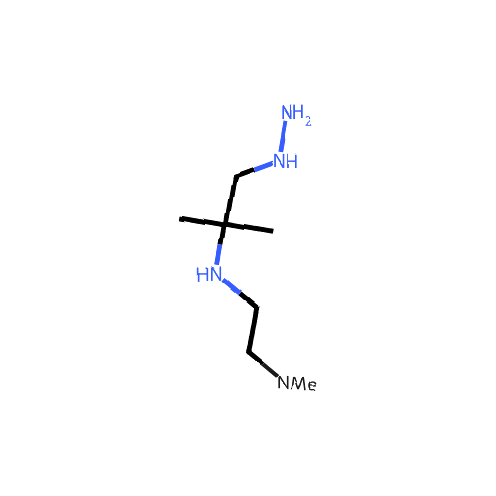 CNCCNC(C)(C)CNN